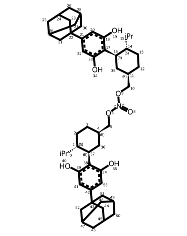 CC(C)[C@@H]1CC[C@@H](CO[N+](=O)OC[C@@H]2CC[C@@H](C(C)C)[C@H](c3c(O)cc(C45CC6CC(CC(C6)C4)C5)cc3O)C2)C[C@H]1c1c(O)cc(C23CC4CC(CC(C4)C2)C3)cc1O